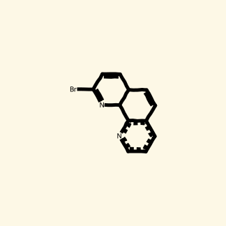 BrC1=NC2c3ncccc3C=CC2C=C1